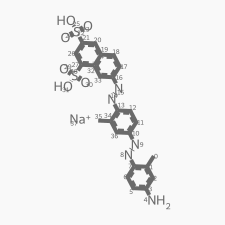 Cc1cc(N)ccc1N=Nc1ccc(N=Nc2ccc3cc(S(=O)(=O)O)cc(S(=O)(=O)O)c3c2)c(C)c1.[Na+]